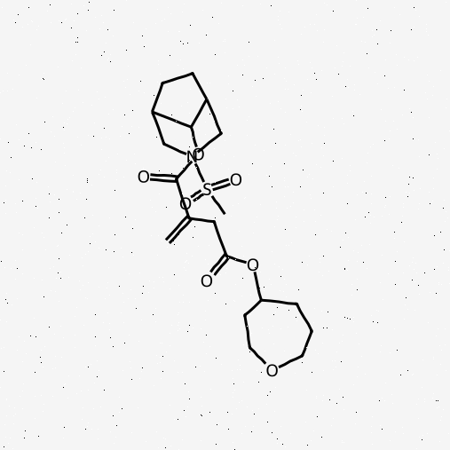 C=C(CC(=O)OC1CCCOCC1)C(=O)OC1C2CCC1CN(S(C)(=O)=O)C2